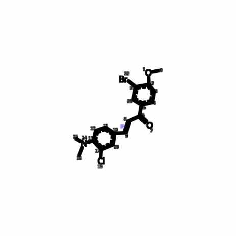 COc1ccc(C(=O)/C=C/c2ccc(N(C)C)c(Cl)c2)cc1Br